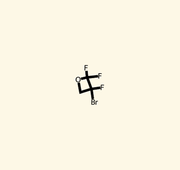 FC1(Br)COC1(F)F